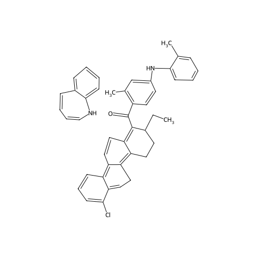 C1=CNc2ccccc2C=C1.CCC1CCc2c3c(ccc2=C1C(=O)c1ccc(Nc2ccccc2C)cc1C)=c1cccc(Cl)c1=CC3